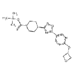 CC(C)(C)OC(=O)N1CCC(c2noc(-c3ccc(OC4COC4)nc3)n2)CC1